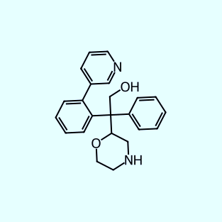 OCC(c1ccccc1)(c1ccccc1-c1cccnc1)C1CNCCO1